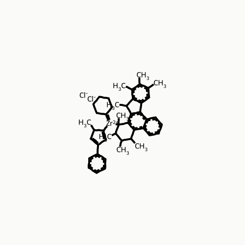 Cc1cc2c(c(C)c1C)C(C)c1c3c(c4ccccc4c1-2)C(C)C(C)C(C)[C]3(C)[Zr+2]([C]1=CC(c2ccccc2)=CC1C)=[C]1CCCCC1.[Cl-].[Cl-]